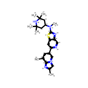 Cc1cn2cc(-c3cc4sc(N(C)C5CC(C)(C)NC(C)(C)C5)nc4cn3)cc(C#N)c2n1